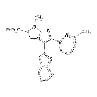 CCOC(=O)C1Cn2c(nc(-c3cccc(C)n3)c2-c2cc3cnccc3s2)N1C